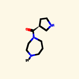 CC(C)N1CCCN(C(=O)[C@@H]2CCNC2)CC1